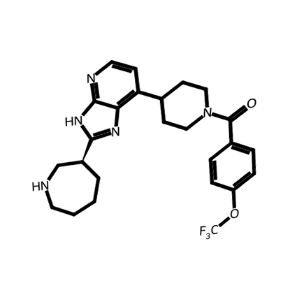 O=C(c1ccc(OC(F)(F)F)cc1)N1CCC(c2ccnc3[nH]c([C@H]4CCCCNC4)nc23)CC1